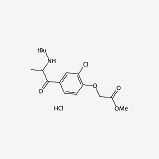 COC(=O)COc1ccc(C(=O)C(C)NC(C)(C)C)cc1Cl.Cl